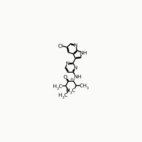 CCC(C)C(=O)[C@H](Nc1ccnc(-c2c[nH]c3ncc(Cl)cc23)n1)C(C)C